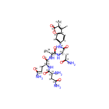 CC(=O)c1c(C)c2ccc(NC(=O)[C@H](CC(N)=O)NC(=O)[C@@H](NC(=O)[C@H](CCC(N)=O)NC(=O)[C@@H](N)CC(N)=O)C(C)C)cc2oc1=O